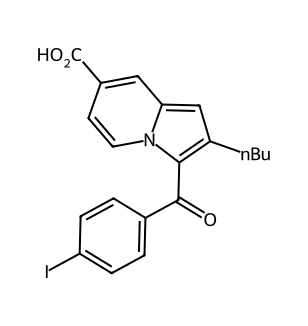 CCCCc1cc2cc(C(=O)O)ccn2c1C(=O)c1ccc(I)cc1